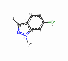 Cc1nn(C(C)C)c2cc(Br)ccc12